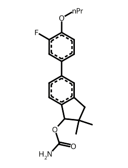 CCCOc1ccc(-c2ccc3c(c2)CC(C)(C)C3OC(N)=O)cc1F